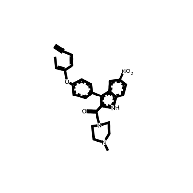 C#C/C=C\C(=C/C)Oc1ccc(-c2c(C(=O)N3CCN(C)CC3)[nH]c3ccc([N+](=O)[O-])cc23)cc1